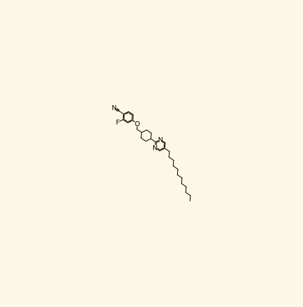 CCCCCCCCCCCCc1cnc(C2CCC(COc3ccc(C#N)c(F)c3)CC2)nc1